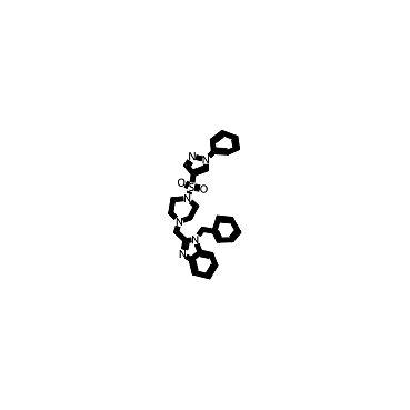 O=S(=O)(c1cnn(-c2ccccc2)c1)N1CCN(Cc2nc3ccccc3n2Cc2ccccc2)CC1